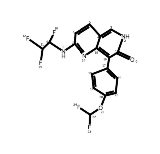 O=c1[nH]cc2ccc(NC(F)C(F)F)nc2c1-c1ccc(OC(F)F)cc1